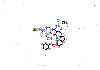 C[S+]([O-])c1nc2c(c(N3CCN(C(=O)OC(C)(C)C)[C@@H](CC#N)C3)n1)CCC1(CCc3ccc(OCc4ccccc4)cc31)C2